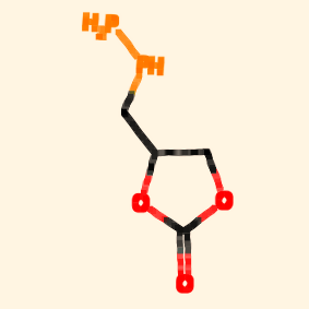 O=C1OCC(CPP)O1